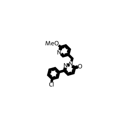 COc1ccc(Cn2nc(-c3cccc(Cl)c3)ccc2=O)cn1